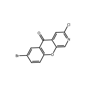 O=c1c2cc(Br)ccc2oc2cnc(Cl)cc12